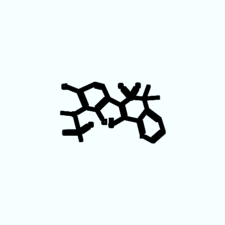 CN(c1c(Cl)ccc(C2=C(O)c3ncccc3C(C)(C)S2(=O)=O)c1Cl)S(C)(=O)=O